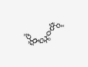 CC(C(=O)C(C)N1CCN(c2ccc3c(C4CCNCC4)ncnc3c2)CC1)N1CCN(c2ccc3c(C4CCNCC4)ncnc3c2)CC1